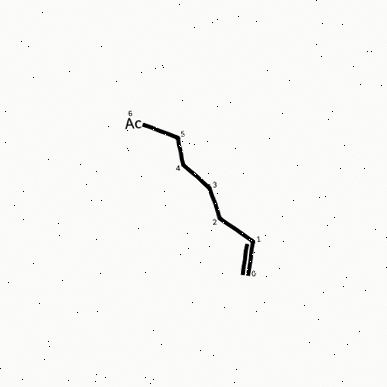 C=CC[CH]CCC(C)=O